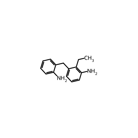 CCc1c(N)cccc1Cc1ccccc1N